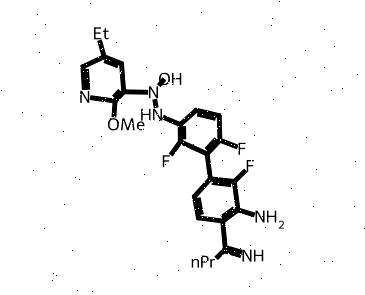 CCCC(=N)c1ccc(-c2c(F)ccc(NN(O)c3cc(CC)cnc3OC)c2F)c(F)c1N